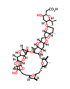 C=C1C[C@@H]2CC[C@]34OC5[C@@H]6O[C@H]7CC[C@H](CC(=O)O[C@@H]8[C@@H](C)[C@@H]9O[C@@H]%10C[C@]%11(C[C@@H]%12O[C@]%13(C[C@H](C)[C@@H]%14O[C@H](CC(=O)O)[C@H](O)C[C@@H]%14O%13)C[C@H](C)[C@@H]%12O%11)O[C@@H]%10C[C@@H]9O[C@H]8C[C@H]8O[C@@H](CC[C@@H]1O2)C[C@@H](C)C8=C)O[C@@H]7[C@H](O3)[C@@H]6O[C@@]5(C)[C@H]4O